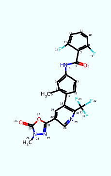 Cc1cc(NC(=O)c2c(F)cccc2F)ccc1-c1cc(-c2nn(C)c(=O)o2)cnc1C(F)(F)F